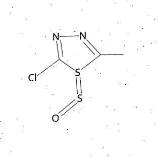 CC1=NN=C(Cl)S1=S=O